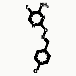 Nc1nc(ON=Cc2ccc(Cl)cc2)ncc1F